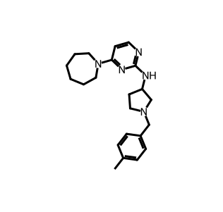 Cc1ccc(CN2CCC(Nc3nccc(N4CCCCCC4)n3)C2)cc1